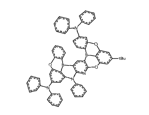 CC(C)(C)c1cc2c3c(c1)Oc1nc4c(cc1B3c1ccc(N(c3ccccc3)c3ccccc3)cc1O2)B1c2ccccc2Oc2cc(N(c3ccccc3)c3ccccc3)cc(c21)N4c1ccccc1